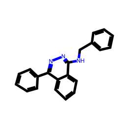 c1ccc(CNc2nnc(-c3ccccc3)c3ccccc23)cc1